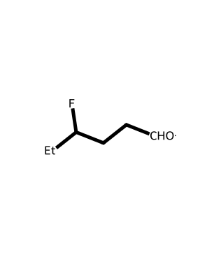 CCC(F)CC[C]=O